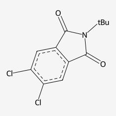 CC(C)(C)N1C(=O)c2cc(Cl)c(Cl)cc2C1=O